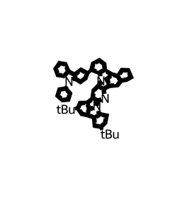 CC(C)(C)c1ccc2c(c1)c1cc(C(C)(C)C)cc3c4cc5c(nc4n2c13)c1cc2ccccc2c2c3cccc(-c4ccc6c(c4)c4ccccc4n6-c4ccccc4)c3n5c12